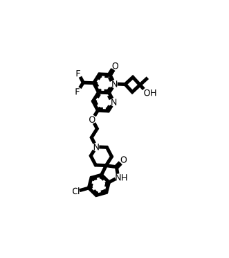 CC1(O)CC(n2c(=O)cc(C(F)F)c3cc(OCCN4CCC5(CC4)C(=O)Nc4ccc(Cl)cc45)cnc32)C1